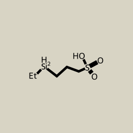 CC[SiH2]CCCS(=O)(=O)O